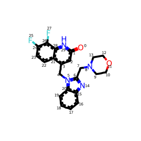 O=c1cc(Cn2c(CN3CCOCC3)nc3ccccc32)c2ccc(F)c(F)c2[nH]1